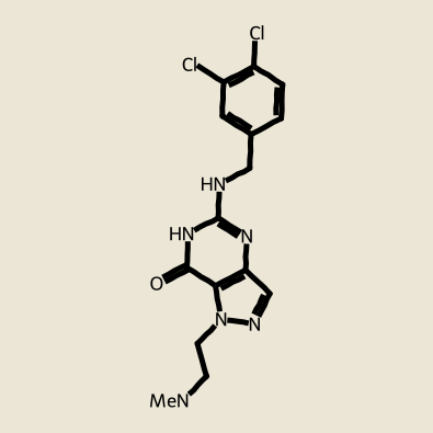 CNCCn1ncc2nc(NCc3ccc(Cl)c(Cl)c3)[nH]c(=O)c21